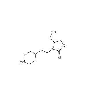 O=C1OCC(CO)N1CCC1CCNCC1